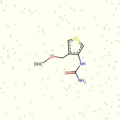 NC(=O)Nc1cscc1COC=O